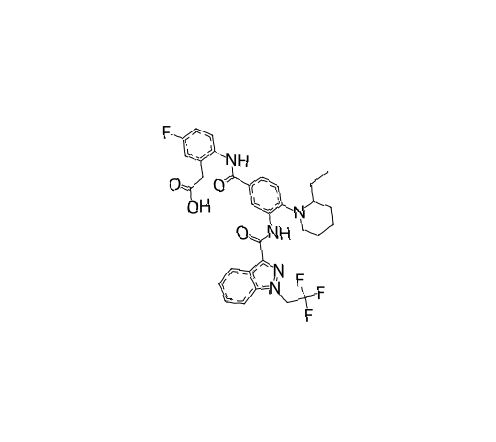 CCC1CCCCN1c1ccc(C(=O)Nc2ccc(F)cc2CC(=O)O)cc1NC(=O)c1nn(CC(F)(F)F)c2ccccc12